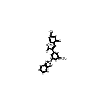 COC(=O)C(=CC1C=CC(O)=CC1=O)c1cc(-n2nc3ccccc3n2)cc(C(C)(C)C)c1